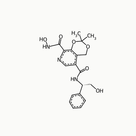 CC1(C)OCc2c(C(=O)N[C@H](CO)c3ccccc3)cnc(C(=O)NO)c2O1